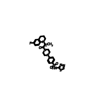 C[C@@H](C(=O)N1CCN(c2ccc(S(=O)(=O)Nc3nncs3)cc2)CC1)N1CCCc2cc(F)ccc21